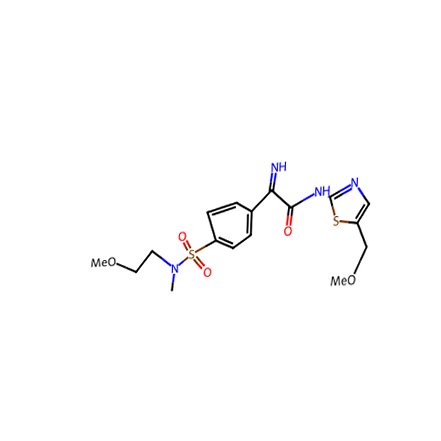 COCCN(C)S(=O)(=O)c1ccc(C(=N)C(=O)Nc2ncc(COC)s2)cc1